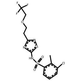 Cc1c(Cl)cccc1S(=O)(=O)Nc1nc(CCOCC(F)(F)F)ns1